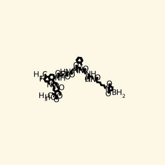 BC1CC(=O)N(CCCCCC(=O)NCC(=O)NCC(=O)N[C@@H](Cc2ccccc2)C(=O)NCC(=O)NC(=O)OCC(=O)N[C@H]2CCc3c(C)c(F)cc4nc5c(c2c34)Cn2c-5cc3c(c2=O)COC(=O)[C@]3(O)CC)C1=O